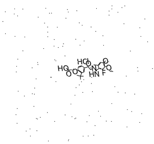 CCOc1c(OC)cc2c(c1F)C(=N)N(CC(=O)c1ccc(OCC(=O)O)c(C(C)(C)C)c1)C2.Cl